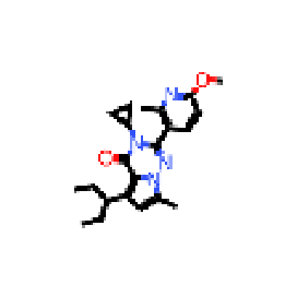 CCC(CC)c1cc(C)n2nc(-c3ccc(OC)nc3C)n(C3CC3)c(=O)c12